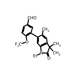 CCN1C(=O)C(C)(C)c2cc(C)c(-c3cc(C=O)ccc3OC(F)(F)F)cc21